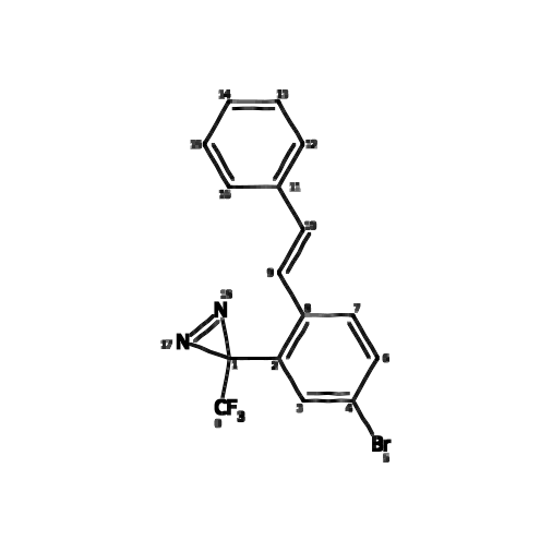 FC(F)(F)C1(c2cc(Br)ccc2C=Cc2ccccc2)N=N1